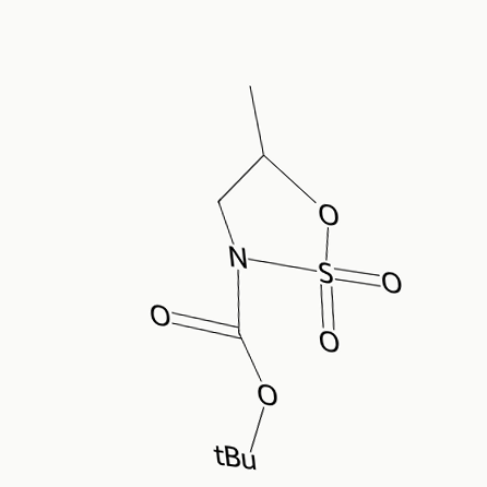 CC1CN(C(=O)OC(C)(C)C)S(=O)(=O)O1